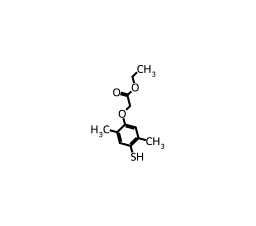 CCOC(=O)COc1cc(C)c(S)cc1C